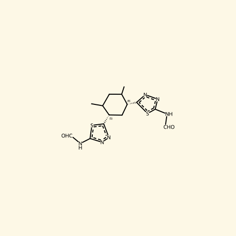 CC1CC(C)[C@H](c2nnc(NC=O)s2)C[C@@H]1c1nnc(NC=O)s1